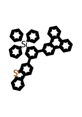 c1ccc([Si](c2ccccc2)(c2ccccc2)c2cc(-c3ccc4c(c3)sc3ccccc34)cc(-c3ccc4c5ccccc5c5ccccc5c4c3)c2)cc1